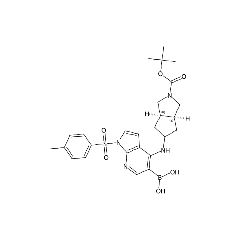 Cc1ccc(S(=O)(=O)n2ccc3c(NC4C[C@@H]5CN(C(=O)OC(C)(C)C)C[C@@H]5C4)c(B(O)O)cnc32)cc1